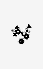 CC(C)(C)c1cc(CCc2ccccc2NC(=O)NC2CC2)cc(C(C)(C)C)c1O.c1cc2ccc1CO2